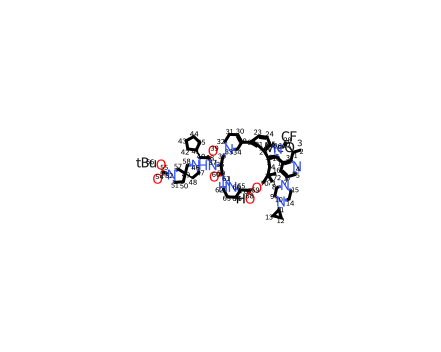 CO[C@@H](C)c1ncc(N2CCN(C3CC3)CC2)cc1-c1c2c3cc(ccc3n1CC(F)(F)F)C1=CCCN(C1)C[C@H](NC(=O)[C@H](C1CCCC1)N1CC[C@]3(CCN(C(=O)OC(C)(C)C)C3)C1)C(=O)N1CCC[C@H](N1)C(=O)OCC(C)(C)C2